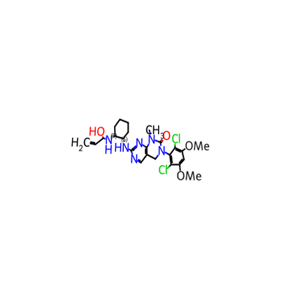 C=CC(O)N[C@@H]1CCCC[C@@H]1Nc1ncc2c(n1)N(C)C(=O)N(c1c(Cl)c(OC)cc(OC)c1Cl)C2